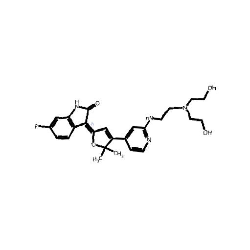 CC1(C)O/C(=C2/C(=O)Nc3cc(F)ccc32)C=C1c1ccnc(NCCN(CCO)CCO)c1